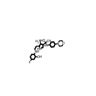 CC(O)(Nc1ccc(N2CCOCC2)cc1)c1c[nH]c(/C=C\Nc2ccc(F)cc2O)c1N